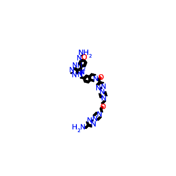 NCc1cnc(N2CCN(CCOCCN3CCN(c4ncc(C(=O)N5CCc6cc(Cn7nc(-c8ccc9oc(N)nc9c8)c8c(N)ncnc87)ccc6C5)cn4)CC3)CC2)nc1